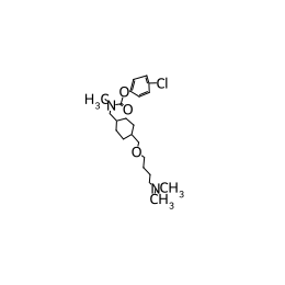 CN(C)CCCCOCC1CCC(CN(C)C(=O)Oc2ccc(Cl)cc2)CC1